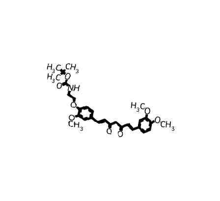 COc1ccc(/C=C/C(=O)CC(=O)/C=C/c2ccc(OCCNC(=O)OC(C)(C)C)c(OC)c2)cc1OC